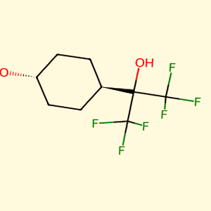 OC([C@H]1CC[C@H](O)CC1)(C(F)(F)F)C(F)(F)F